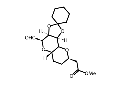 COC(=O)C[C@H]1CC[C@@H]2O[C@@H](C=O)[C@H]3OC4(CCCCC4)O[C@H]3C2O1